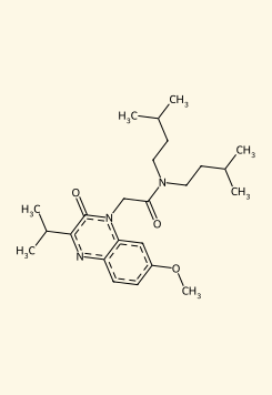 COc1ccc2nc(C(C)C)c(=O)n(CC(=O)N(CCC(C)C)CCC(C)C)c2c1